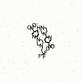 O=[N+]([O-])c1ccc(N2CCN(CCC(F)(F)F)CC2)nc1.O=[N+]([O-])c1ccc(N2CCNCC2)nc1